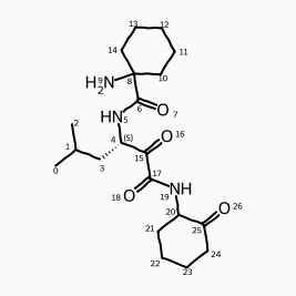 CC(C)C[C@H](NC(=O)C1(N)CCCCC1)C(=O)C(=O)NC1CCCCC1=O